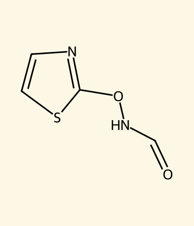 O=CNOc1nccs1